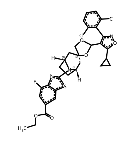 CCOC(=O)c1cc(F)c2nc(N3[C@@H]4CC[C@H]3C[C@@]3(COC(c5c(-c6c(Cl)cccc6Cl)noc5C5CC5)O3)C4)sc2c1